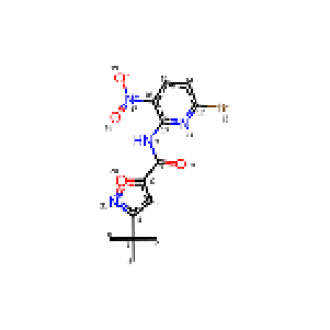 CC(C)(C)c1cc(C(=O)Nc2nc(Br)ccc2[N+](=O)[O-])on1